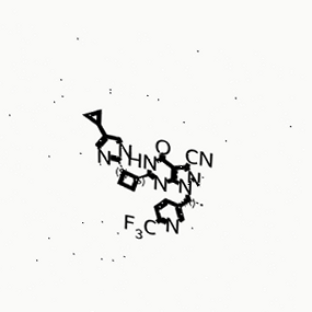 C[C@H](c1ccc(C(F)(F)F)nc1)n1nc(C#N)c2c(=O)[nH]c([C@H]3CC[C@@H]3c3ncc(C4CC4)cn3)nc21